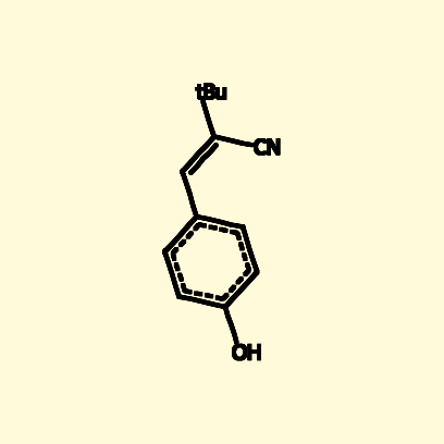 CC(C)(C)C(C#N)=Cc1ccc(O)cc1